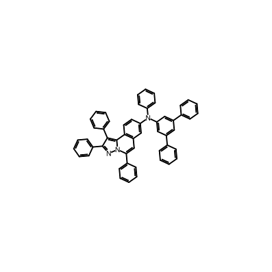 c1ccc(-c2cc(-c3ccccc3)cc(N(c3ccccc3)c3ccc4c(c3)cc(-c3ccccc3)n3nc(-c5ccccc5)c(-c5ccccc5)c43)c2)cc1